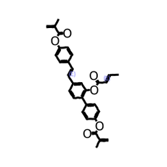 C=C(C)C(=O)Oc1ccc(/C=C/c2ccc(-c3ccc(OC(=O)C(=C)C)cc3)c(OC(=O)/C=C/C)c2)cc1